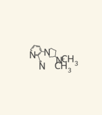 CN(C)C1CCN(c2cccnc2C#N)C1